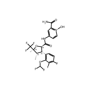 C[C@H]1[C@@H](c2ccc(F)c(F)c2OC(F)F)[C@H](C(=O)Nc2cc[n+](O)c(C(N)=O)c2)O[C@]1(C)C(F)(F)F